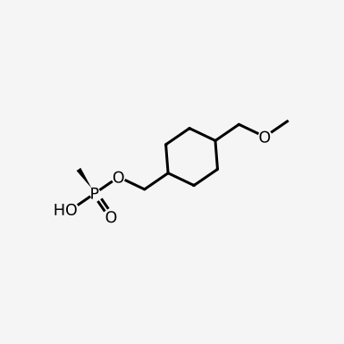 COCC1CCC(CO[P@](C)(=O)O)CC1